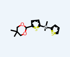 CC1(C)COC(c2ccc([Si](C)(C)c3cccs3)s2)OC1